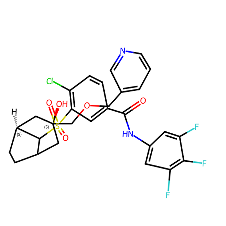 O=C(Nc1cc(F)c(F)c(F)c1)c1ccc(Cl)c(S(=O)(=O)C2C3CC[C@H]2C[C@](O)(COCc2cccnc2)C3)c1